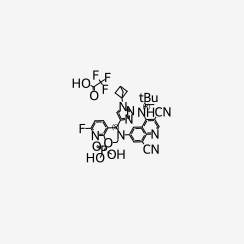 Cc1nc(F)ccc1[C@@H](c1cn(C23CC(C2)C3)nn1)N(COP(=O)(O)O)c1cc(C#N)c2ncc(C#N)c(N[C@H](C)C(C)(C)C)c2c1.O=C(O)C(F)(F)F